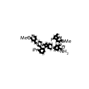 C=C1C=C(F)c2cc(Oc3cc(N4CCC5(CC4)CC(N4CCN(Cc6ccnc(OC)c6)CC4c4ccccc4C(C)C)C5)ccc3C(N)=O)c(OC)nc21